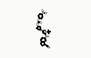 CC(C)(C)n1nc([C@H]2CC[C@@H](OC(=O)Oc3ccc([N+](=O)[O-])cc3)C2)cc1Nc1ccc2c(c1)C(C#N)CC2